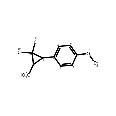 CCOc1ccc(C2C(C(=O)O)C2(Cl)Cl)cc1